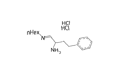 CCCCCCN=CC(N)CCc1ccccc1.Cl.Cl